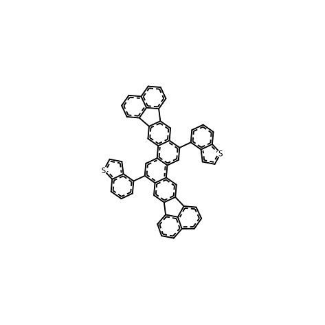 c1cc2c3c(cccc3c1)-c1cc3c(cc1-2)c(-c1cccc2sccc12)cc1c2cc4c(cc2c(-c2cccc5sccc25)cc31)-c1cccc2cccc-4c12